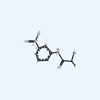 CC(Br)C(=O)Nc1cccc([N+](=O)[O-])c1